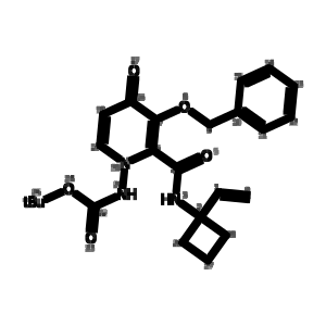 C=CC1(NC(=O)c2c(OCc3ccccc3)c(=O)ccn2NC(=O)OC(C)(C)C)CCC1